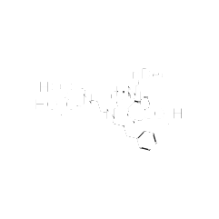 CCCCCCCCCCCNC(=O)CN(CC(=O)O)C(Cc1ccccc1)CN(CCN(CC(=O)O)CC(=O)O)CC(=O)O